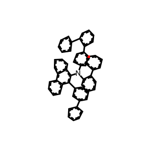 c1ccc(-c2cccc(-c3c(N(c4ccc(-c5ccccc5-c5ccccc5)cc4)c4ccccc4-c4ccccc4)c4ccccc4c4ccccc34)c2)cc1